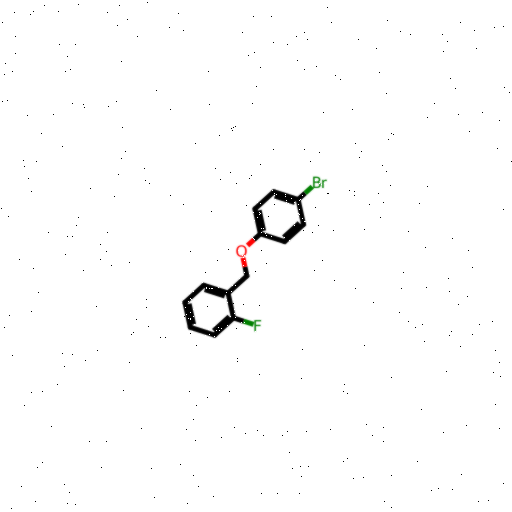 Fc1ccccc1COc1ccc(Br)cc1